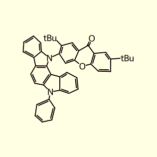 CC(C)(C)c1ccc2oc3cc(-n4c5ccccc5c5ccc6c(c7ccccc7n6-c6ccccc6)c54)c(C(C)(C)C)cc3c(=O)c2c1